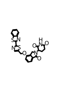 O=C1CCC(N2Cc3c(OCc4cnc(-c5nc6ccccc6s5)s4)cccc3C2=O)C(=O)N1